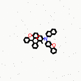 Cc1c(-c2ccccc2C2c3ccccc3Oc3ccccc32)cccc1N(c1ccc2ccccc2c1)c1ccc2c(c1)oc1ccccc12